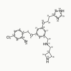 Clc1ccc(COc2cc(CNCC3CNC3)cc(OCCc3c[nH]cn3)c2)c(Br)c1